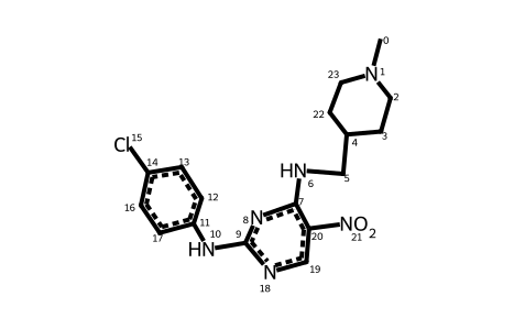 CN1CCC(CNc2nc(Nc3ccc(Cl)cc3)ncc2[N+](=O)[O-])CC1